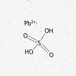 O=S(=O)(O)O.[Pb+2]